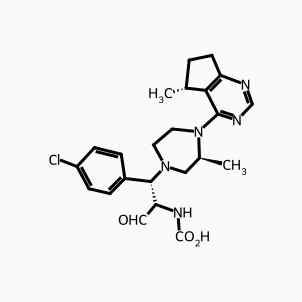 C[C@@H]1CCc2ncnc(N3CCN([C@@H](c4ccc(Cl)cc4)C(C=O)NC(=O)O)C[C@@H]3C)c21